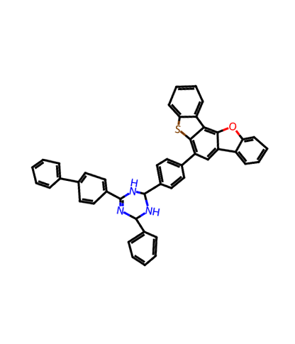 c1ccc(-c2ccc(C3=NC(c4ccccc4)NC(c4ccc(-c5cc6c7ccccc7oc6c6c5sc5ccccc56)cc4)N3)cc2)cc1